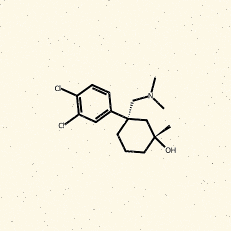 CN(C)C[C@@]1(c2ccc(Cl)c(Cl)c2)CCC[C@@](C)(O)C1